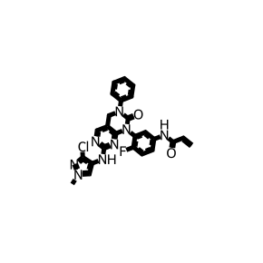 C=CC(=O)Nc1ccc(F)c(N2C(=O)N(c3ccccc3)Cc3cnc(Nc4cn(C)nc4Cl)nc32)c1